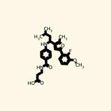 COc1cccc(-c2cc(C(CC(C)C)Nc3ccc(C(=O)NCCC(=O)O)cc3)c(C)o2)c1F